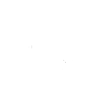 Cc1ccc(C2=CC3CCC(C2)N3C)cc1Cl